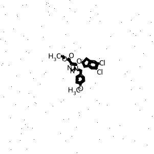 CCOC(=O)c1nnn(Cc2ccc(OC)cc2)c1OC1Cc2cc(Cl)c(Cl)cc2C1